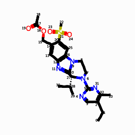 CCc1cnc(N2CCn3c(nc4cc(COC(C)=O)c(S(C)(=O)=O)cc43)[C@H]2C(C)C)nc1C